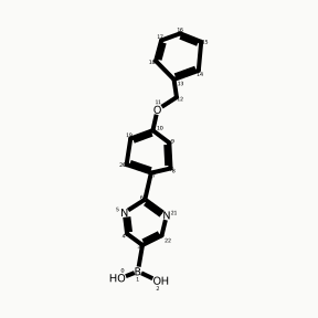 OB(O)c1cnc(-c2ccc(OCc3ccccc3)cc2)nc1